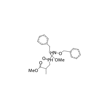 COC(=O)C(C)C[PH](=O)C(CCc1ccccc1)(NOCc1ccccc1)OC